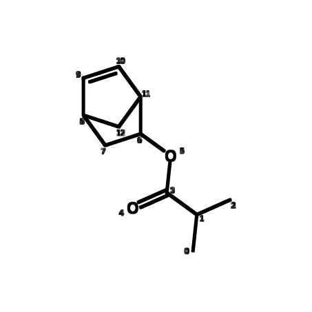 CC(C)C(=O)OC1CC2C=CC1C2